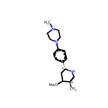 COC1C[C@H](c2ccc(N3CCN(C)CC3)cc2)NC[C@H]1C